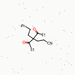 CCC(=O)C(CCC#N)(CCC(C)C)C(=O)CC